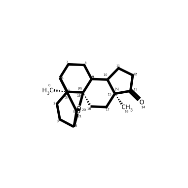 C[C@]12CCC3CC1CCC1C4CCC(=O)[C@@]4(C)CC[C@@]12OO3